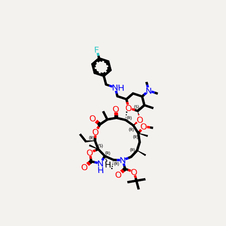 CC[C@H]1OC(=O)C(C)C(=O)[C@H](C)[C@@H](O[C@@H]2OC(CNCc3ccc(F)cc3)CC(N(C)C)C2C)[C@](C)(OC)C[C@@H](C)CN(C(=O)OC(C)(C)C)[C@H](C)[C@H]2NC(=O)O[C@@]21C